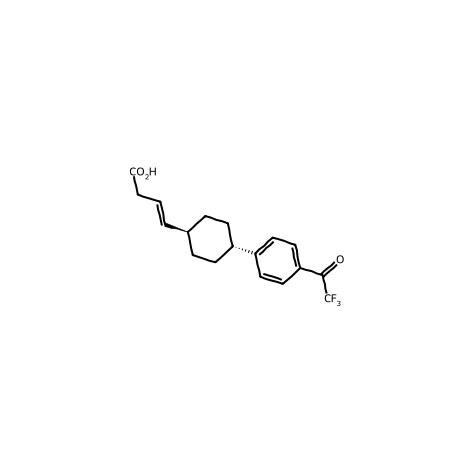 O=C(O)CC=C[C@H]1CC[C@H](c2ccc(C(=O)C(F)(F)F)cc2)CC1